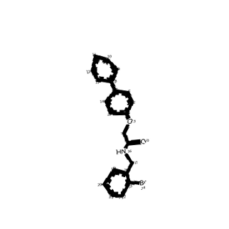 O=C(COc1ccc(-c2ccccc2)cc1)NCc1ccccc1Br